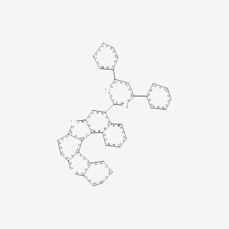 c1ccc(-c2cc(-c3ccccc3)nc(-c3cc4oc5ccc6oc7ccccc7c6c5c4c4ccccc34)n2)cc1